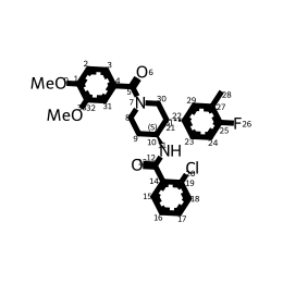 COc1ccc(C(=O)N2CC[C@H](NC(=O)c3ccccc3Cl)[C@@H](c3ccc(F)c(C)c3)C2)cc1OC